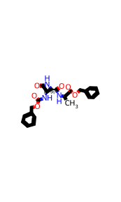 CC(NC(=O)[C@@H]1NC(=O)[C@@H]1NC(=O)OCc1ccccc1)C(=O)OCc1ccccc1